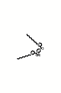 CCCCCCCCCCN1CCCC(C(=O)N2CCN(C(=O)C3CCCN(CCCCCCCCCC)C3)CC2)C1.I.I